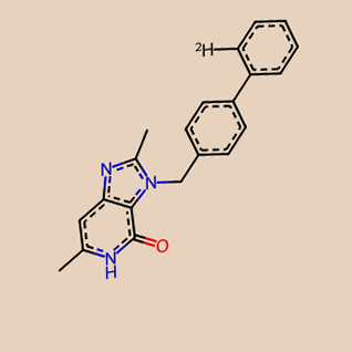 [2H]c1ccccc1-c1ccc(Cn2c(C)nc3cc(C)[nH]c(=O)c32)cc1